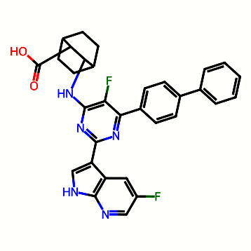 O=C(O)C1C2CCC(CC2)C1Nc1nc(-c2c[nH]c3ncc(F)cc23)nc(-c2ccc(-c3ccccc3)cc2)c1F